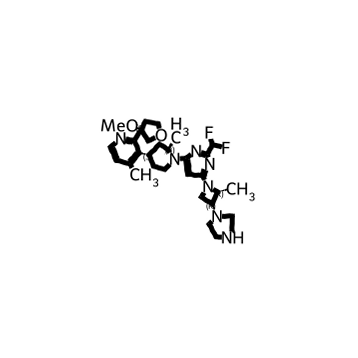 CO[C@]1(c2nccc(C)c2[C@H]2CCN(c3cc(N4C[C@@H](N5CCNCC5)[C@H]4C)nc(C(F)F)n3)[C@H](C)C2)CCOC1